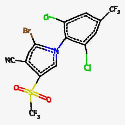 N#Cc1c(S(=O)(=O)C(F)(F)F)cn(-c2c(Cl)cc(C(F)(F)F)cc2Cl)c1Br